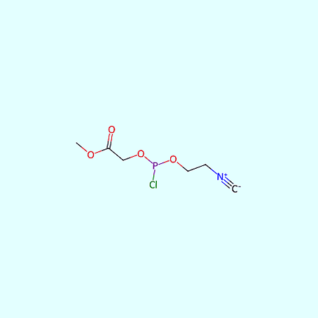 [C-]#[N+]CCOP(Cl)OCC(=O)OC